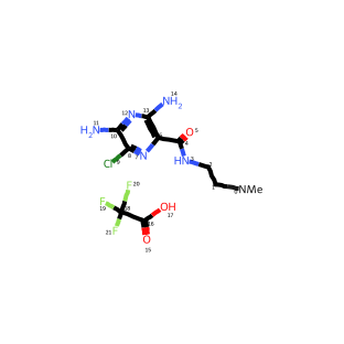 CNCCNC(=O)c1nc(Cl)c(N)nc1N.O=C(O)C(F)(F)F